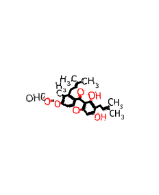 CC(C)=CCc1c(O)cc2oc3cc(OCOC=O)c(C)c(CC=C(C)C)c3c(=O)c2c1O